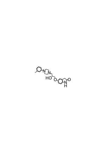 Cc1cccc(N2CCN(CC(O)COc3ccc4c(c3)CC(=O)N4)CC2)c1